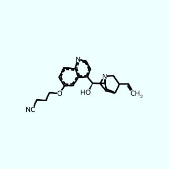 C=CC1CN2CCC1CC2[C@@H](O)c1ccnc2ccc(OCCCC#N)cc12